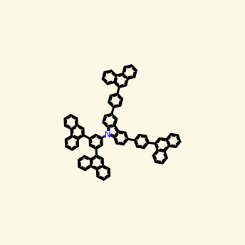 c1ccc2c(c1)cc(-c1ccc(-c3ccc4c(c3)c3cc(-c5ccc(-c6cc7ccccc7c7ccccc67)cc5)ccc3n4-c3cc(-c4cc5ccccc5c5ccccc45)cc(-c4cc5ccccc5c5ccccc45)c3)cc1)c1ccccc12